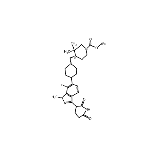 Cn1nc(C2CCC(=O)NC2=O)c2ccc(C3CCN(C[C@@H]4CCN(C(=O)OC(C)(C)C)CC4(C)C)CC3)c(F)c21